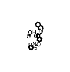 O=CO.c1cnc2nc(Oc3ccc4c(CN5CCC6CCCCC6C5)coc4c3)sc2c1